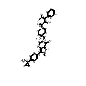 Cn1nc2c(=O)n(CC3(O)CCN(C(=O)C(F)C(c4ccccc4)C(F)F)CC3)cnc2c1-c1ccc(C2(N)CC2)cc1